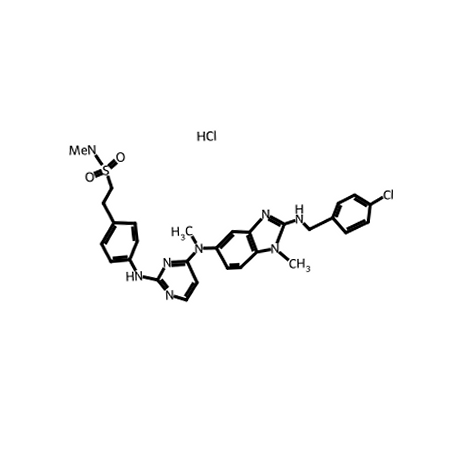 CNS(=O)(=O)CCc1ccc(Nc2nccc(N(C)c3ccc4c(c3)nc(NCc3ccc(Cl)cc3)n4C)n2)cc1.Cl